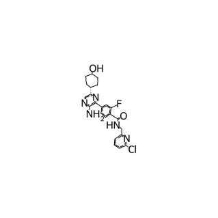 Nc1ncc([C@H]2CC[C@H](O)CC2)nc1-c1ccc(C(=O)NCc2cccc(Cl)n2)c(F)c1